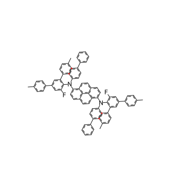 Cc1ccc(-c2cc(F)c(N(c3ccc(-c4ccccc4)cc3)c3ccc4ccc5c(N(c6ccc(-c7ccccc7)cc6)c6c(F)cc(-c7ccc(C)cc7)cc6-c6ccc(C)cc6)ccc6ccc3c4c65)c(-c3ccc(C)cc3)c2)cc1